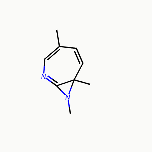 CC1=CN=C2N(C)C2(C)C=C1